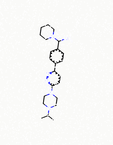 CC(C)N1CCN(c2ccc(-c3ccc(C(N)N4CCCCC4)cc3)nn2)CC1